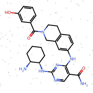 NC(=O)c1cnc(N[C@@H]2CCCC[C@@H]2N)nc1Nc1ccc2c(c1)CN(C(=O)c1cccc(O)c1)CC2